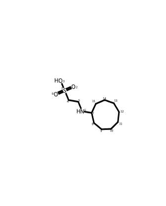 O=S(=O)(O)CCNC1CCCCCCCC1